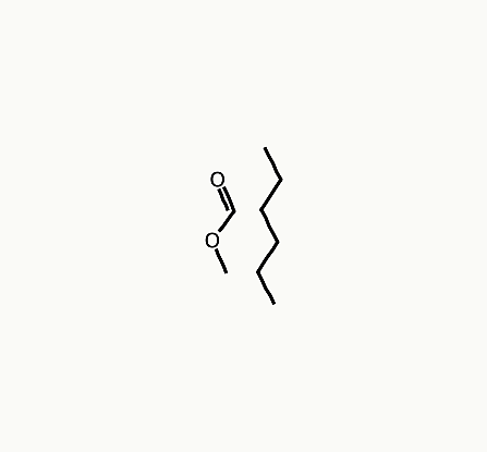 CCCCCC.COC=O